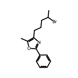 Cc1oc(-c2ccccc2)nc1CCCC(C)Br